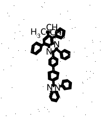 CC(C)(C)c1cc(-c2ccccc2)c2nc(-c3ccc(-c4ccc(-c5nc6ccccc6n5-c5ccccc5)cc4)cc3)c(-c3ccccc3)nc2c1-c1ccccc1